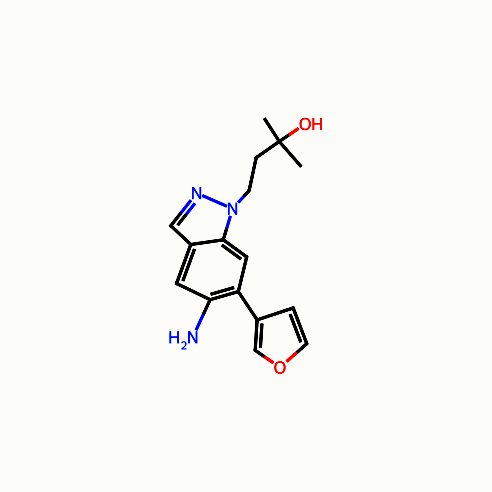 CC(C)(O)CCn1ncc2cc(N)c(-c3ccoc3)cc21